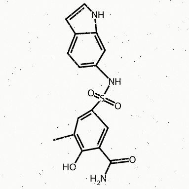 Cc1cc(S(=O)(=O)Nc2ccc3cc[nH]c3c2)cc(C(N)=O)c1O